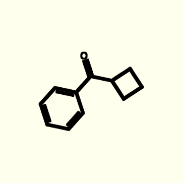 O=C(c1ccccc1)C1CCC1